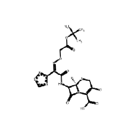 CC(C)(C)OC(=O)CO/N=C(\C(=O)NC1C(=O)N2C(C(=O)O)=C(Cl)CS[C@H]12)c1ncsn1